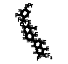 CCCc1ccc(C(F)(F)Oc2cc3ccc(-c4cc(F)c5c(F)c(C(F)(F)F)c(F)cc5c4)c(F)c3c(F)c2F)c(F)c1